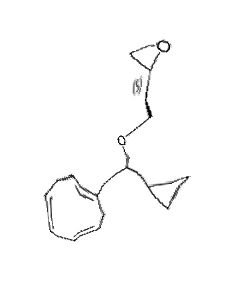 c1ccc(C(OC[C@H]2CO2)C2CC2)cc1